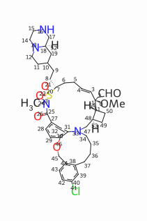 CO[C@]1(C=O)/C=C/CC[C@@H](CCC2CCN3CCNC[C@H]3C2)S(=O)(=O)N(C)C(=O)c2ccc3c(c2)N(CCCCc2cc(Cl)ccc2CO3)C[C@@H]2CC[C@H]21